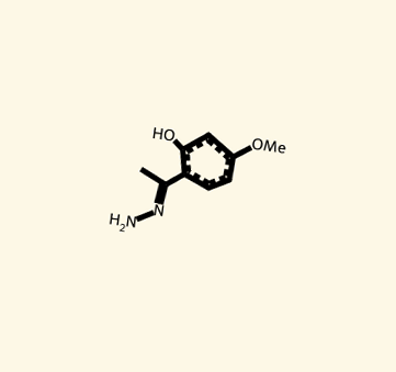 COc1ccc(C(C)=NN)c(O)c1